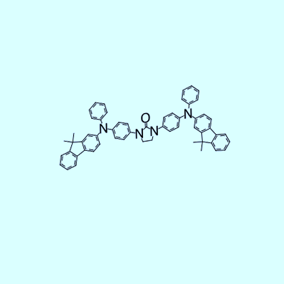 CC1(C)c2ccccc2-c2ccc(N(c3ccccc3)c3ccc(N4CCN(c5ccc(N(c6ccccc6)c6ccc7c(c6)C(C)(C)c6ccccc6-7)cc5)C4=O)cc3)cc21